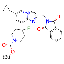 CC(C)(C)OC(=O)N1CCC(F)(c2cc(C3CC3)cn3cc(CN4C(=O)c5ccccc5C4=O)nc23)CC1